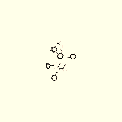 CO[C@@H]1[C@@H](OC(=O)c2ccccc2)[C@@H](OC(=O)c2ccccc2)[C@H](Oc2cc(OCc3ccccc3)c(CCNC(C)=O)c(-c3cccc(F)c3)c2)OC1(C)C